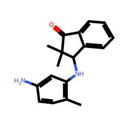 Cc1ccc(N)cc1NC1c2ccccc2C(=O)C1(C)C